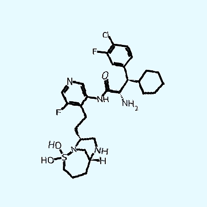 N[C@H](C(=O)Nc1cncc(F)c1CC[C@H]1CN[C@@H]2CCCS(O)(O)N1C2)[C@@H](c1ccc(Cl)c(F)c1)C1CCCCC1